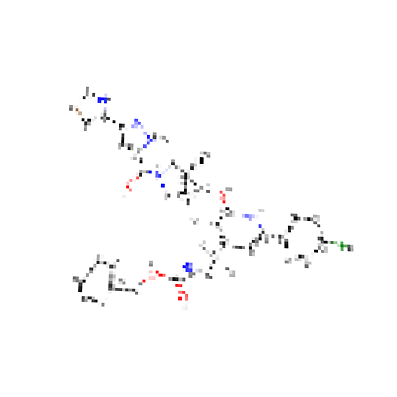 Cn1nc(-c2cscn2)cc1C(=O)N1C[C@@H]2C(Oc3cc(C(C)(C)CNC(=O)OCc4ccccc4)cc(-c4ccc(F)cc4)n3)[C@@H]2C1